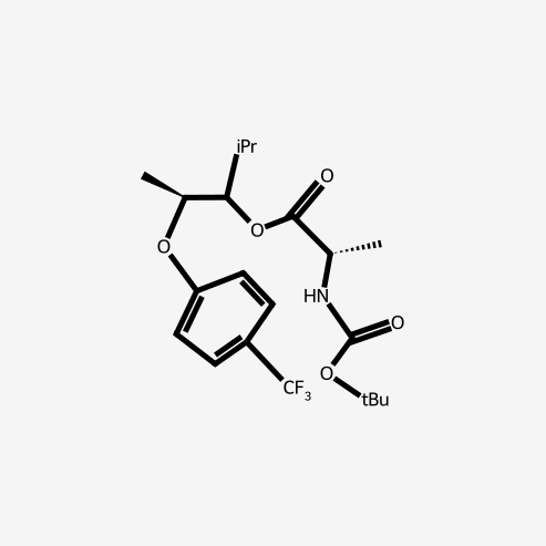 CC(C)C(OC(=O)[C@H](C)NC(=O)OC(C)(C)C)[C@H](C)Oc1ccc(C(F)(F)F)cc1